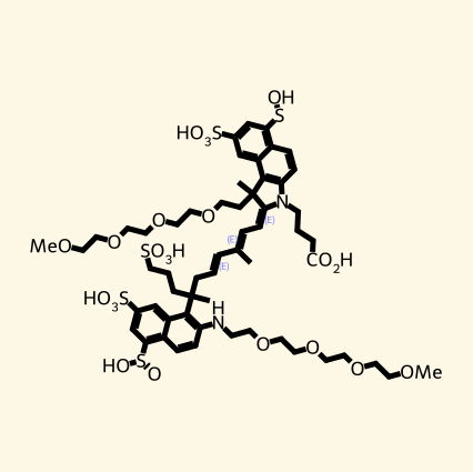 COCCOCCOCCOCCNc1ccc2c(S(=O)O)cc(S(=O)(=O)O)cc2c1C(C)(C/C=C/C(C)=C/C=C1/N(CCCC(=O)O)c2ccc3c(SO)cc(S(=O)(=O)O)cc3c2C1(C)CCOCCOCCOCCOC)CCCS(=O)(=O)O